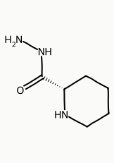 NNC(=O)[C@@H]1CCCCN1